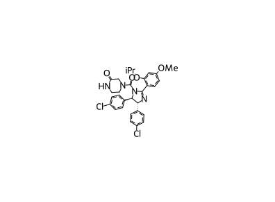 COc1ccc(C2=N[C@H](c3ccc(Cl)cc3)[C@@H](c3ccc(Cl)cc3)N2C(=O)N2CCNC(=O)C2)c(OC(C)C)c1